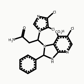 NC(=O)CC(N1c2c(ncc(Cl)c2C(=O)O)NC1c1ccccc1)n1cnc(Cl)c1Cl